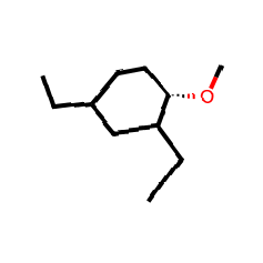 CCC1CC[C@H](OC)C(CC)C1